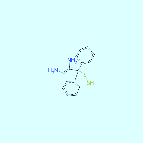 NC=C(N)C(SS)(c1ccccc1)c1ccccc1